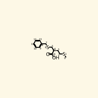 CSCC[C@H](CSCc1ccccc1)C(=O)O